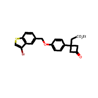 CCOC(=O)CC1(c2ccc(OCc3ccc4scc(Br)c4c3)cc2)CC(=O)C1